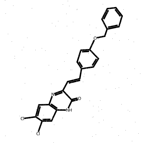 O=c1[nH]c2cc(Cl)c(Cl)cc2nc1C=Cc1ccc(OCc2ccccc2)cc1